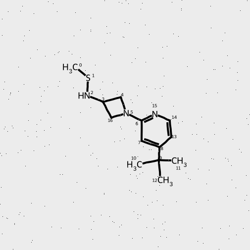 CSNC1CN(c2cc(C(C)(C)C)ccn2)C1